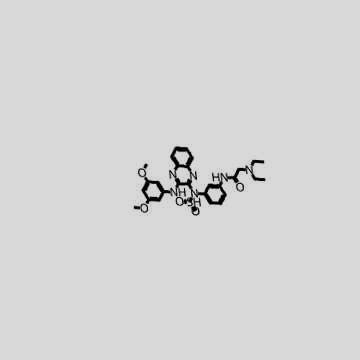 CCN(CC)CC(=O)Nc1cccc(N(c2nc3ccccc3nc2Nc2cc(OC)cc(OC)c2)[SH](=O)=O)c1